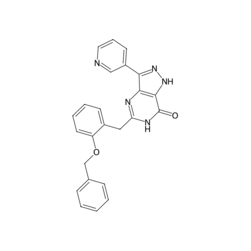 O=c1[nH]c(Cc2ccccc2OCc2ccccc2)nc2c(-c3cccnc3)n[nH]c12